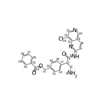 NCC(C(=O)Nc1ccc2cncc(Cl)c2n1)c1ccc(COC(=O)c2ccccc2)cc1